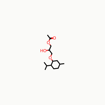 CC(=O)OCC(O)COC1CC(C)CCC1C(C)C